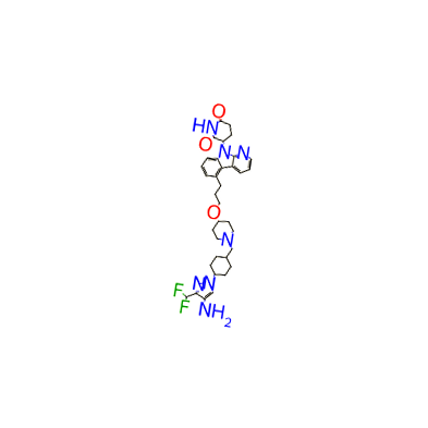 Nc1cn(C2CCC(CN3CCC(OCCCc4cccc5c4c4cccnc4n5C4CCC(=O)NC4=O)CC3)CC2)nc1C(F)F